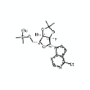 CCc1ncnc2c1ccn2[C@@H]1O[C@H](CO[Si](C)(C)C(C)(C)C)[C@H]2OC(C)(C)O[C@H]21